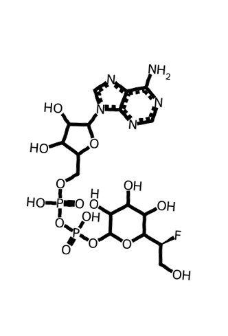 Nc1ncnc2c1ncn2C1OC(COP(=O)(O)OP(=O)(O)OC2OC([C@@H](F)CO)C(O)C(O)C2O)C(O)C1O